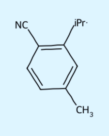 C[C](C)c1cc(C)ccc1C#N